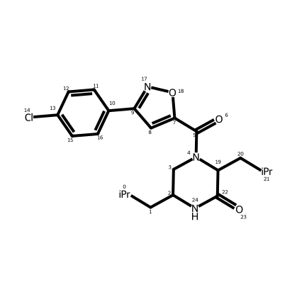 CC(C)CC1CN(C(=O)c2cc(-c3ccc(Cl)cc3)no2)C(CC(C)C)C(=O)N1